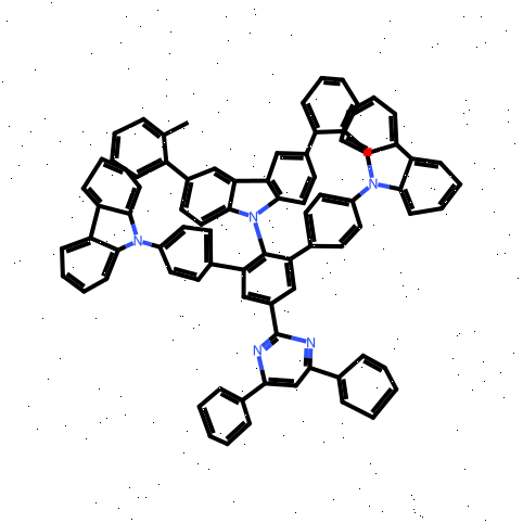 Cc1ccccc1-c1ccc2c(c1)c1cc(-c3ccccc3C)ccc1n2-c1c(-c2ccc(-n3c4ccccc4c4ccccc43)cc2)cc(-c2nc(-c3ccccc3)cc(-c3ccccc3)n2)cc1-c1ccc(-n2c3ccccc3c3ccccc32)cc1